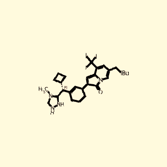 CCC(C)CC1=CN2C(=O)C(C3C=C([C@@H](C4CCC4)C4NNCN4C)CCC3)C=C2C(C(I)(I)I)=C1